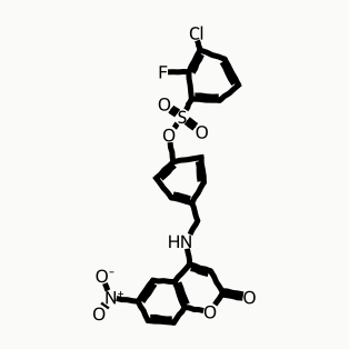 O=c1cc(NCc2ccc(OS(=O)(=O)c3cccc(Cl)c3F)cc2)c2cc([N+](=O)[O-])ccc2o1